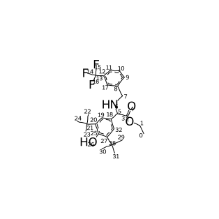 CCOC(=O)C(NCc1cccc(C(F)(F)F)c1)c1cc(C(C)(C)C)c(O)c(C(C)(C)C)c1